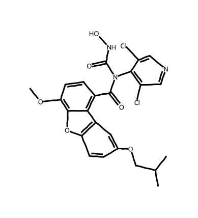 COc1ccc(C(=O)N(C(=O)NO)c2c(Cl)cncc2Cl)c2c1oc1ccc(OCC(C)C)cc12